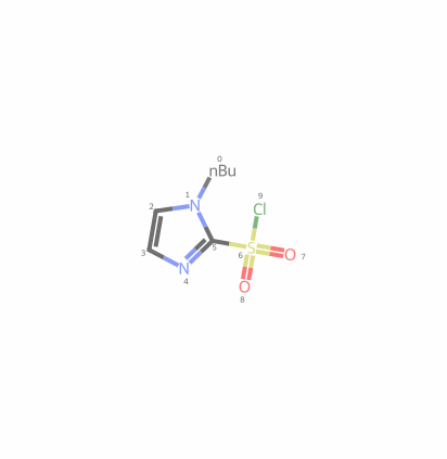 CCCCn1ccnc1S(=O)(=O)Cl